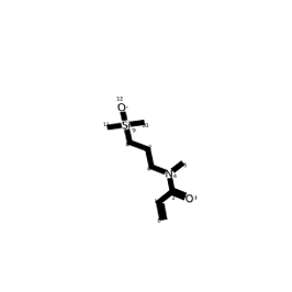 C=CC(=O)N(C)CCC[Si](C)(C)[O]